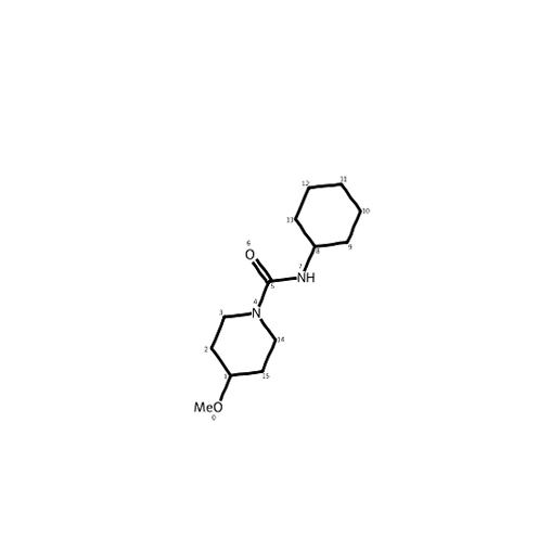 COC1CCN(C(=O)NC2CCCCC2)CC1